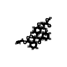 C#CCOC(=O)C1=C(C(=O)N(C(=O)c2cccc(F)c2)c2cc(SC(C)C(=O)OC)c(Cl)cc2F)CCCC1